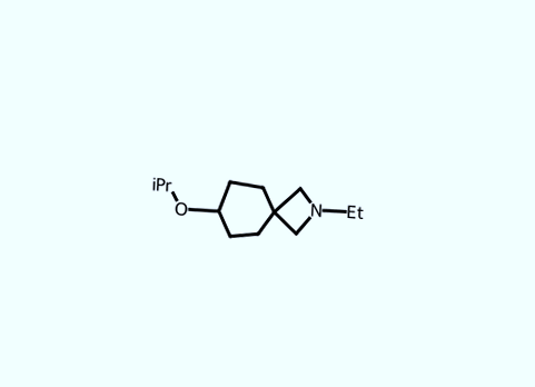 CCN1CC2(CCC(OC(C)C)CC2)C1